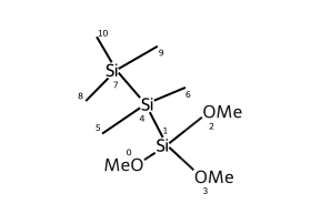 CO[Si](OC)(OC)[Si](C)(C)[Si](C)(C)C